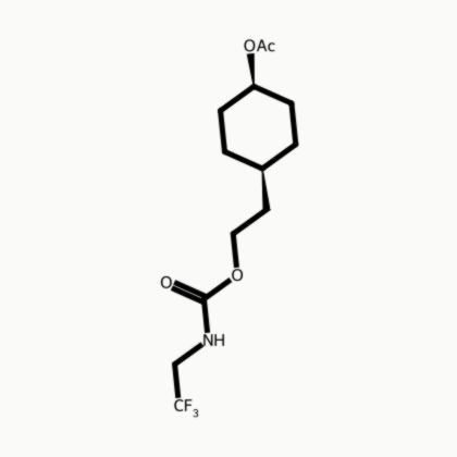 CC(=O)O[C@H]1CC[C@@H](CCOC(=O)NCC(F)(F)F)CC1